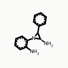 Nc1ccccc1N1C(c2ccccc2)[C@H]1N